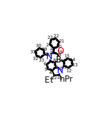 CCCC1C(CC)c2ccc3c4c2N1c1ccccc1B4c1oc2ccccc2c1N3c1ccccc1